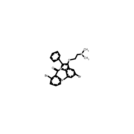 CN(C)CCOc1c(-c2ccccc2)n(C(=O)c2ccccc2Br)c2c(Br)cc(Br)cc12